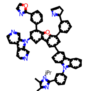 Cc1nc(-c2cccc(-n3c4ccccc4c4cc(-c5cc(-c6cccc(C7=NC=CC7)c6)c6oc7c(-c8cccc(-c9ncco9)c8)cc(-n8c9cnccc9c9ccncc98)cc7c6c5)ccc43)c2)n(C(C)C)c1C